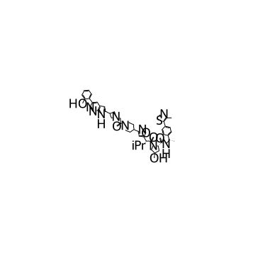 Cc1ncsc1-c1ccc([C@H](C)NC(=O)[C@@H]2C[C@@H](O)CN2C(=O)[C@@H](c2cc(C3CCN(C(=O)CN4CC(c5cc6cc(-c7ccccc7O)nnc6[nH]5)C4)CC3)no2)C(C)C)cc1